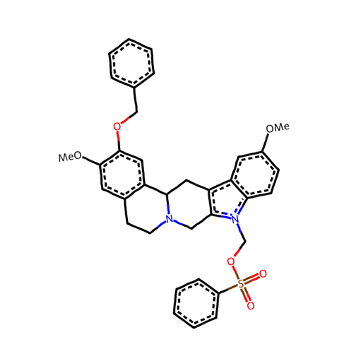 COc1ccc2c(c1)c1c(n2COS(=O)(=O)c2ccccc2)CN2CCc3cc(OC)c(OCc4ccccc4)cc3C2C1